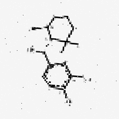 C[C@H]1CCCC(C)(C)[C@@H]1C(O)c1ccc(C#N)c(C(F)(F)F)c1